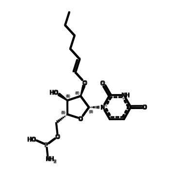 CCCCC=CO[C@@H]1[C@H](O)[C@@H](COP(N)O)O[C@H]1n1ccc(=O)[nH]c1=O